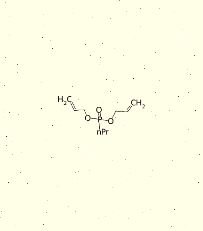 [CH2]CCP(=O)(OCC=C)OCC=C